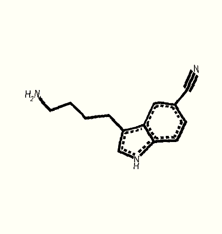 N#Cc1ccc2[nH]cc(CCCCN)c2c1